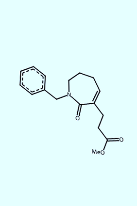 COC(=O)CCC1=CCCCN(Cc2ccccc2)C1=O